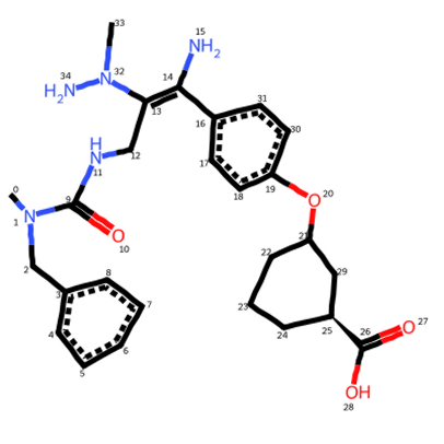 CN(Cc1ccccc1)C(=O)NC/C(=C(/N)c1ccc(OC2CCC[C@H](C(=O)O)C2)cc1)N(C)N